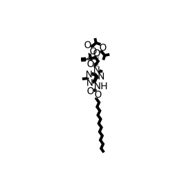 C#C[C@]1(COC(=O)C(C)C)O[C@@H](n2cnc3c(NC(=O)OCCCCCCCCCCCCCC)nc(C)nc32)C[C@@H]1OC(=O)C(C)C